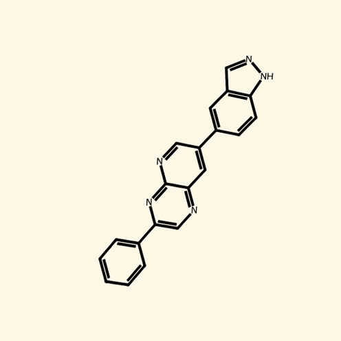 c1ccc(-c2cnc3cc(-c4ccc5[nH]ncc5c4)cnc3n2)cc1